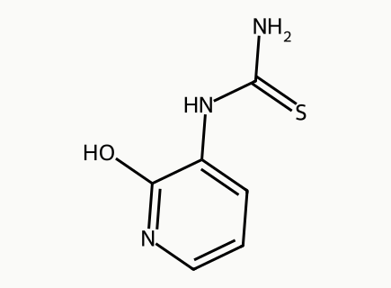 NC(=S)Nc1cccnc1O